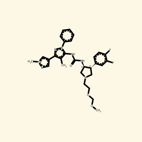 COCOCCN1C[C@@H](NC(=O)Nc2c(C)c(-c3cnn(C)c3)nn2-c2ccccc2)[C@H](c2ccc(F)c(F)c2)C1